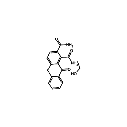 CCO.NC(=O)c1ccc2sc3ccccc3c(=O)c2c1C(N)=O